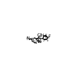 Cc1c(-c2ccc(F)cc2)nn2c1CB(C#N)CC2